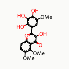 COc1cc(-c2oc3ccc(OC)c(OC)c3c(=O)c2O)c(O)c(O)c1O